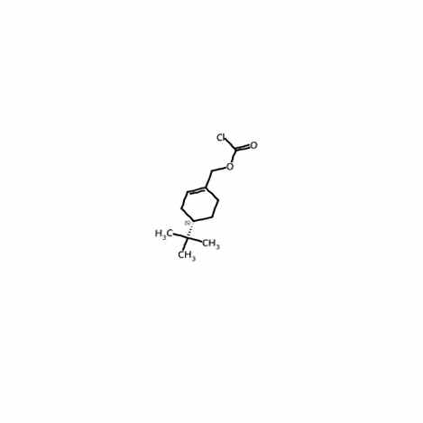 CC(C)(C)[C@@H]1CC=C(COC(=O)Cl)CC1